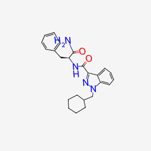 NC(=O)[C@H](Cc1ccccc1)NC(=O)c1nn(CC2CCCCC2)c2ccccc12